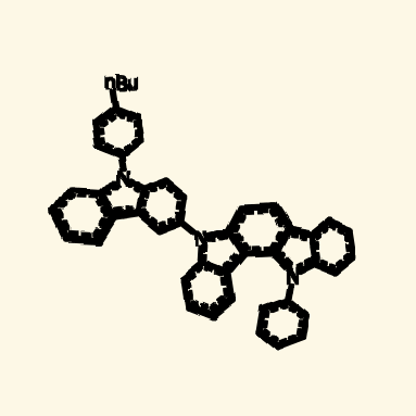 CCCCc1ccc(-n2c3ccccc3c3cc(-n4c5ccccc5c5c4ccc4c6ccccc6n(-c6ccccc6)c45)ccc32)cc1